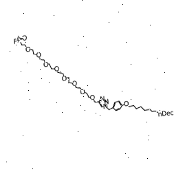 CCCCCCCCCCCCCCCCCCOc1ccc(Cn2cc(COCCOCCOCCOCCOCCOCCOCCOCCP(C)(=O)F)nn2)cc1